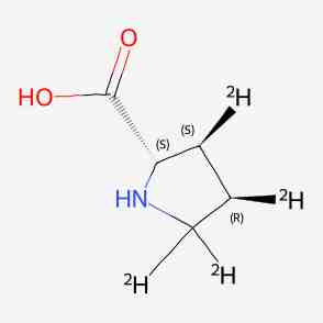 [2H][C@@H]1[C@@H](C(=O)O)NC([2H])([2H])[C@@H]1[2H]